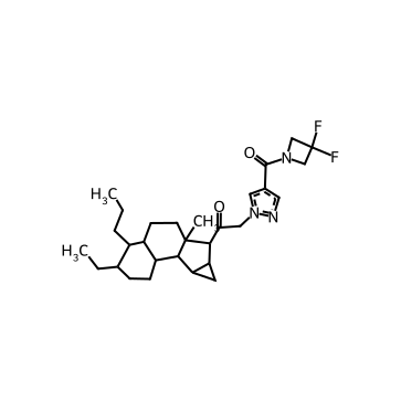 CCCC1C(CC)CCC2C1CCC1(C)C(C(=O)Cn3cc(C(=O)N4CC(F)(F)C4)cn3)C3CC3C21